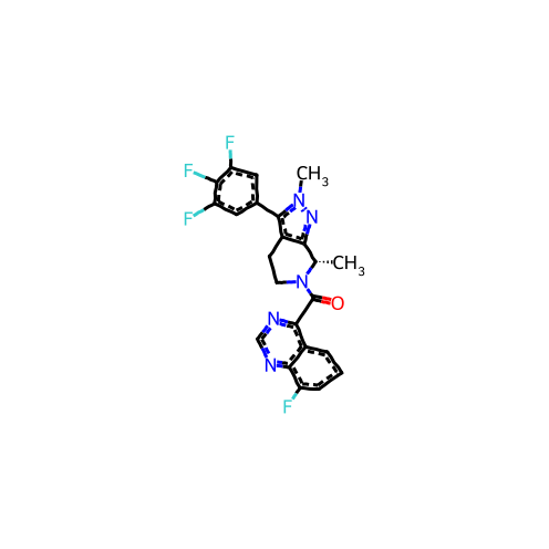 C[C@H]1c2nn(C)c(-c3cc(F)c(F)c(F)c3)c2CCN1C(=O)c1ncnc2c(F)cccc12